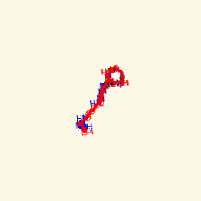 CO[C@H]1C[C@@H]2CC[C@@H](C)[C@@](O)(O2)C(=O)C(=O)N2CCCC[C@H]2C(=O)O[C@H]([C@H](N)C[C@@H]2CC[C@H](n3cc(-c4cnc(N5CCN(c6ncc(C(=O)NCCOCCOCCOCCOCCC(=O)NCCCCn7nc(-c8cc9cc(O)ccc9[nH]8)c8c(N)ncnc87)cn6)CC5)nc4)nn3)[C@H](OC)C2)CC(=O)[C@H](C)/C=C(\C)[C@@H](O)[C@@H](OC)C(=O)[C@H](C)C[C@H](C)/C=C/C=C/C=C/1C